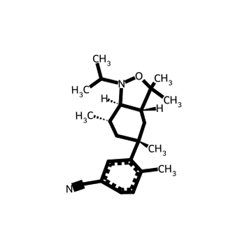 Cc1ccc(C#N)cc1[C@@]1(C)C[C@@H]2[C@@H]([C@@H](C)C1)N(C(C)C)OC2(C)C